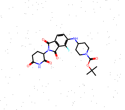 CC(C)(C)OC(=O)N1CCC(Nc2ccc3c(c2F)C(=O)N(C2CCC(=O)NC2=O)C3=O)CC1